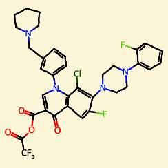 O=C(OC(=O)C(F)(F)F)c1cn(-c2cccc(CN3CCCCC3)c2)c2c(Cl)c(N3CCN(c4ccccc4F)CC3)c(F)cc2c1=O